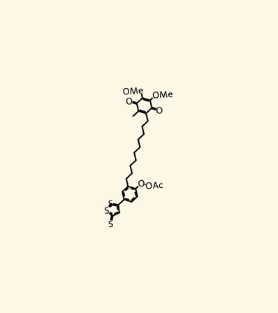 COC1=C(OC)C(=O)C(CCCCCCCCCCc2cc(-c3cc(=S)ss3)ccc2OOC(C)=O)=C(C)C1=O